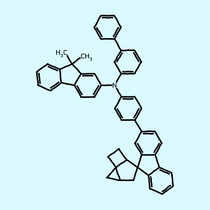 CC1(C)c2ccccc2-c2ccc(N(c3ccc(-c4ccc5c(c4)C4(CC6CC67CCC47)c4ccccc4-5)cc3)c3cccc(-c4ccccc4)c3)cc21